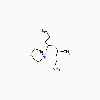 C1COCCN1.CCCC(C)OC(C)CCC